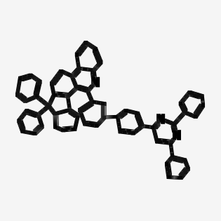 c1ccc(-c2cc(-c3ccc(-c4cccc(-c5nc6ccccc6c6ccc7c(c56)-c5ccccc5C7(c5ccccc5)c5ccccc5)c4)cc3)nc(-c3ccccc3)n2)cc1